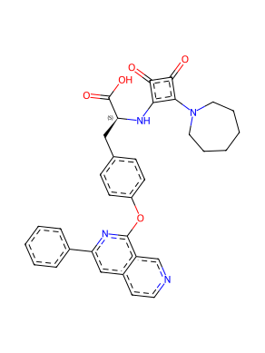 O=C(O)[C@H](Cc1ccc(Oc2nc(-c3ccccc3)cc3ccncc23)cc1)Nc1c(N2CCCCCC2)c(=O)c1=O